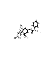 Cc1cc(NC(=O)C(C)c2ccccc2)cc(C)c1S(=O)(=O)C[N+](=O)[O-]